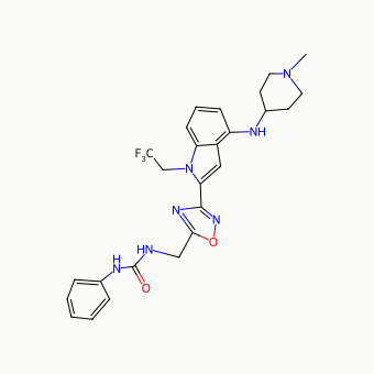 CN1CCC(Nc2cccc3c2cc(-c2noc(CNC(=O)Nc4ccccc4)n2)n3CC(F)(F)F)CC1